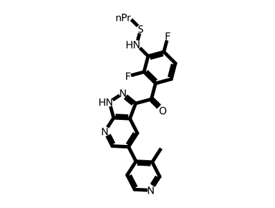 CCCSNc1c(F)ccc(C(=O)c2n[nH]c3ncc(-c4ccncc4C)cc23)c1F